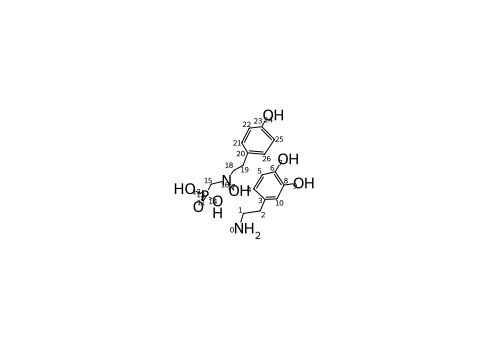 NCCc1ccc(O)c(O)c1.O=P(O)(O)CN(O)CCc1ccc(O)cc1